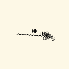 CCCCCCCCCCCCCCCCCCC(O)C(N)(O)C(N)(O)CC.F.F